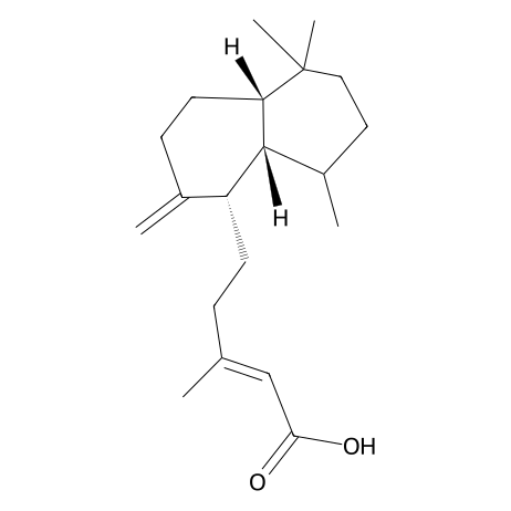 C=C1CC[C@H]2[C@H](C(C)CCC2(C)C)[C@@H]1CCC(C)=CC(=O)O